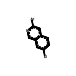 CC(=O)c1cc2ccc(Cl)cc2cn1